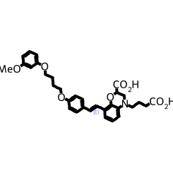 COc1cccc(OCCCCOc2ccc(/C=C/c3cccc4c3OC(C(=O)O)CN4CCCC(=O)O)cc2)c1